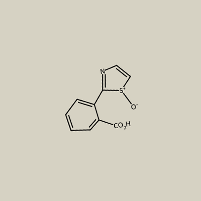 O=C(O)c1ccccc1-c1ncc[s+]1[O-]